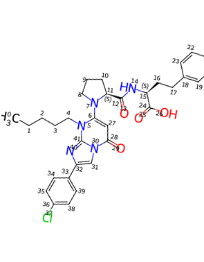 CCCCCn1c(N2CCC[C@H]2C(=O)N[C@@H](CCc2ccccc2)C(=O)O)cc(=O)n2cc(-c3ccc(Cl)cc3)nc12